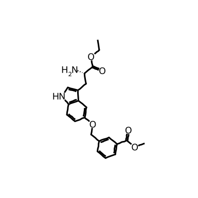 CCOC(=O)[C@@H](N)Cc1c[nH]c2ccc(OCc3cccc(C(=O)OC)c3)cc12